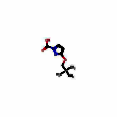 C[Si](C)(C)COc1ccn(C(=O)O)n1